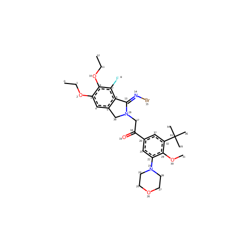 CCOc1cc2c(c(F)c1OCC)/C(=N/Br)N(CC(=O)c1cc(N3CCOCC3)c(OC)c(C(C)(C)C)c1)C2